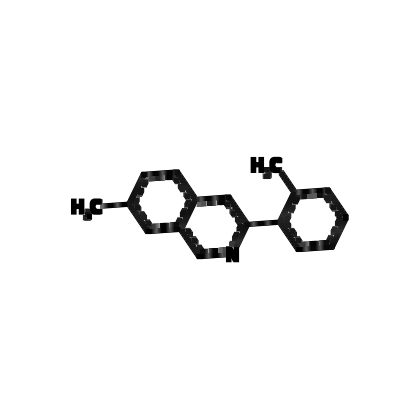 Cc1ccc2cc(-c3ccccc3C)ncc2c1